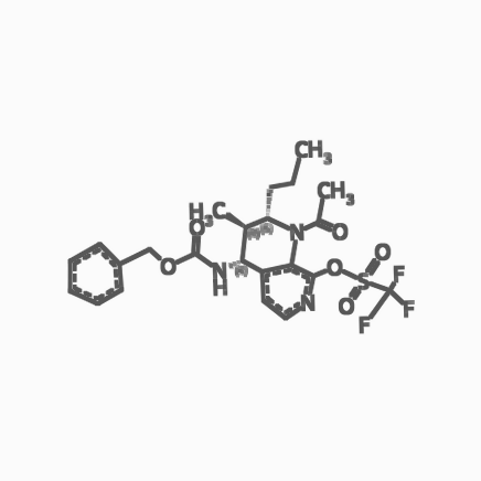 CCC[C@H]1[C@H](C)[C@@H](NC(=O)OCc2ccccc2)c2ccnc(OS(=O)(=O)C(F)(F)F)c2N1C(C)=O